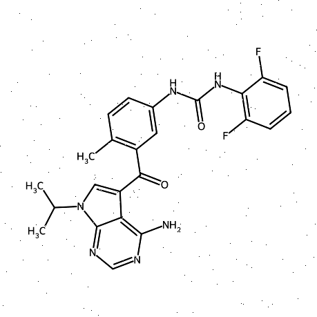 Cc1ccc(NC(=O)Nc2c(F)cccc2F)cc1C(=O)c1cn(C(C)C)c2ncnc(N)c12